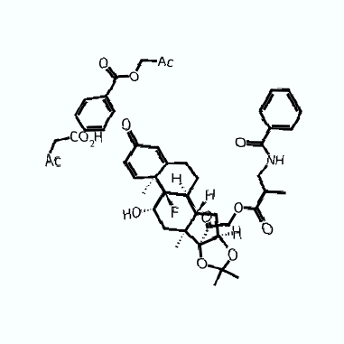 CC(=O)CC(=O)O.CC(=O)COC(=O)c1ccccc1.CC(CNC(=O)c1ccccc1)C(=O)OCC(=O)[C@@]12OC(C)(C)O[C@@H]1C[C@H]1[C@@H]3CCC4=CC(=O)C=C[C@]4(C)[C@@]3(F)[C@@H](O)C[C@@]12C